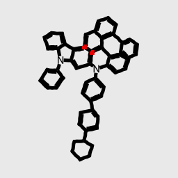 c1ccc(-c2cccc3cccc(-c4ccccc4N(c4ccc(-c5ccc(C6CCCCC6)cc5)cc4)c4ccc5c6ccccc6n(-c6ccccc6)c5c4)c23)cc1